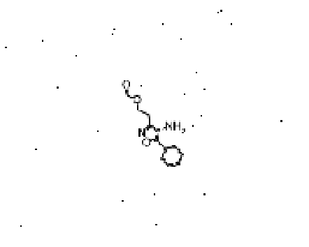 Nc1c(CCOC=O)noc1-c1ccccc1